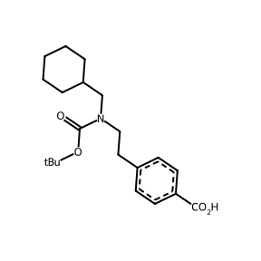 CC(C)(C)OC(=O)N(CCc1ccc(C(=O)O)cc1)CC1CCCCC1